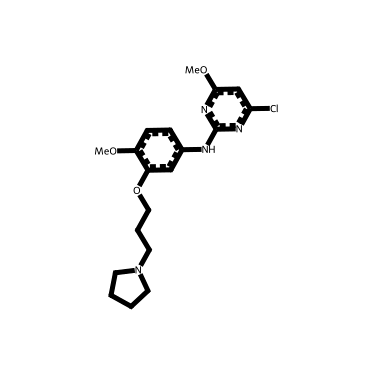 COc1cc(Cl)nc(Nc2ccc(OC)c(OCCCN3CCCC3)c2)n1